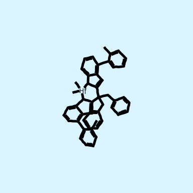 Cc1ccccc1-c1cccc2c1C=C1[CH]2[Hf]([CH3])([CH3])[CH]2C(=Cc3c(-c4ccccc4C)cccc32)C1(Cc1ccccc1)Cc1ccccc1